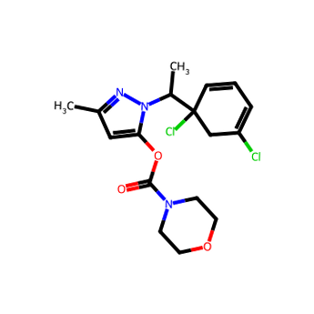 Cc1cc(OC(=O)N2CCOCC2)n(C(C)C2(Cl)C=CC=C(Cl)C2)n1